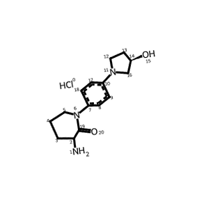 Cl.NC1CCCN(c2ccc(N3CC[C@@H](O)C3)cc2)C1=O